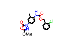 COc1nn(-c2ccc(NC(=O)OCc3ccccc3Cl)c(C)c2)c(=O)o1